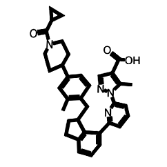 Cc1cc(C2CCN(C(=O)C3CC3)CC2)ccc1CC1CCc2cccc(-c3cccc(-n4ncc(C(=O)O)c4C)n3)c21